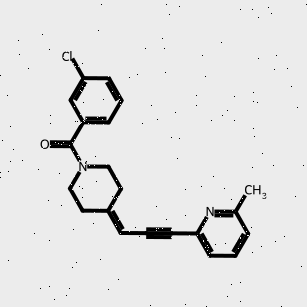 Cc1cccc(C#CC=C2CCN(C(=O)c3cccc(Cl)c3)CC2)n1